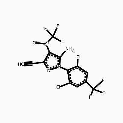 C#Cc1nn(-c2c(Cl)cc(C(F)(F)F)cc2Cl)c(N)c1[S+]([O-])C(F)(F)F